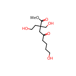 COC(=O)C(CO)(CCO)CC(=O)CCCCO